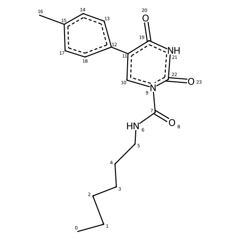 CCCCCCNC(=O)n1cc(-c2ccc(C)cc2)c(=O)[nH]c1=O